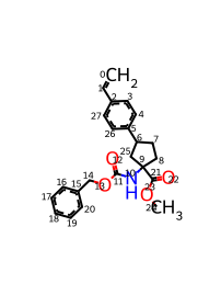 C=Cc1ccc(C2CCC(NC(=O)OCc3ccccc3)(C(=O)OC)C2)cc1